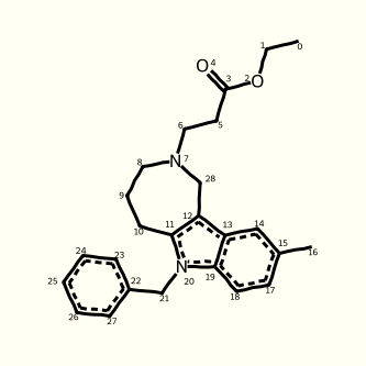 CCOC(=O)CCN1CCCc2c(c3cc(C)ccc3n2Cc2ccccc2)C1